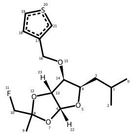 CC(C)C[C@H]1O[C@@H]2OC(C)(CF)O[C@@H]2[C@H]1OCc1ccsc1